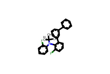 CC(C)(C)N(c1ccccc1F)c1c(F)cccc1-c1cccc(-c2ccccc2)c1